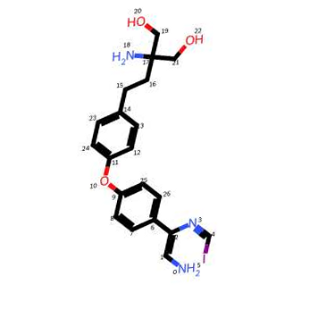 N/C=C(\N=C/I)c1ccc(Oc2ccc(CCC(N)(CO)CO)cc2)cc1